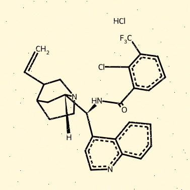 C=CC1CN2CCC1C[C@H]2[C@@H](NC(=O)c1cccc(C(F)(F)F)c1Cl)c1ccnc2ccccc12.Cl